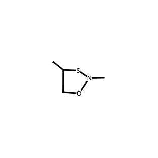 CC1CON(C)S1